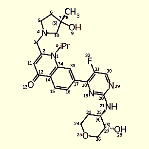 CC(C)n1c(CN2CC[C@](C)(O)C2)cc(=O)c2ccc(-c3nc(N[C@@H]4CCOC[C@H]4O)ncc3F)cc21